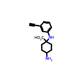 C#Cc1cccc(NC2(C(=O)O)CCC(N)CC2)c1